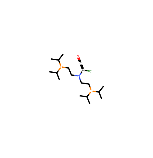 CC(C)P(CC[N](CCP(C(C)C)C(C)C)[Ru]([Cl])=[C]=O)C(C)C